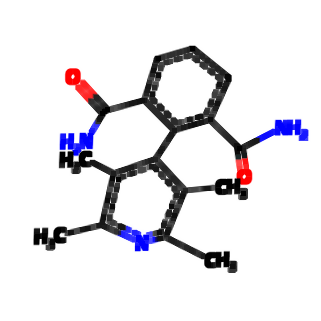 Cc1nc(C)c(C)c(-c2c(C(N)=O)cccc2C(N)=O)c1C